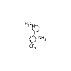 CN1CCCC(c2ccc(C(F)(F)F)cc2N)C1